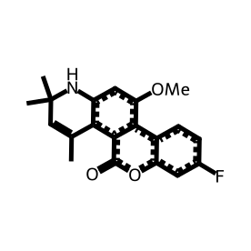 COc1cc2c(c3c(=O)oc4cc(F)ccc4c13)C(C)=CC(C)(C)N2